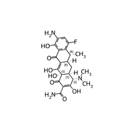 C[C@H]1c2c(F)cc(N)c(O)c2C(=O)C2=C(O)[C@]3(O)C(=O)C(C(N)=O)=C(O)[C@@H](N(C)C)[C@@H]3C[C@@H]21